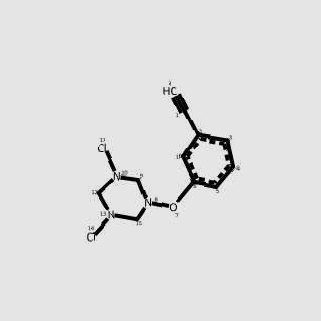 C#Cc1cccc(ON2CN(Cl)CN(Cl)C2)c1